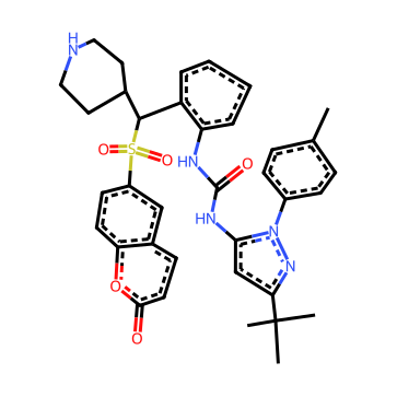 Cc1ccc(-n2nc(C(C)(C)C)cc2NC(=O)Nc2ccccc2C(C2CCNCC2)S(=O)(=O)c2ccc3oc(=O)ccc3c2)cc1